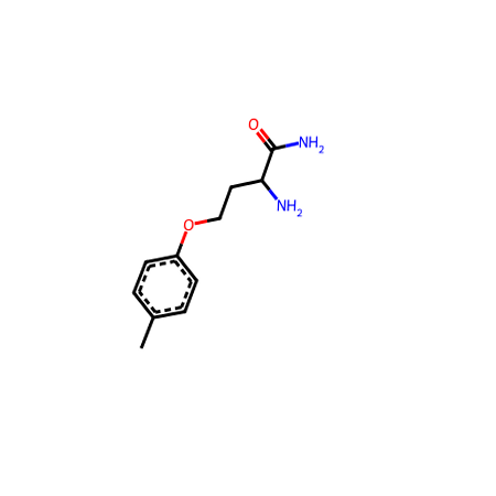 Cc1ccc(OCCC(N)C(N)=O)cc1